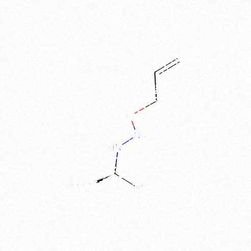 C=CCO[N]N[C@H](C(=O)O)C(C)C